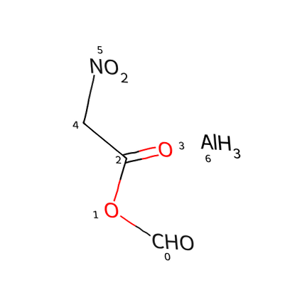 O=COC(=O)C[N+](=O)[O-].[AlH3]